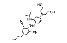 CCCCc1cc(C#N)c(N=Nc2ccc(N(CCO)CCO)cc2NC(C)=O)c(C#N)c1